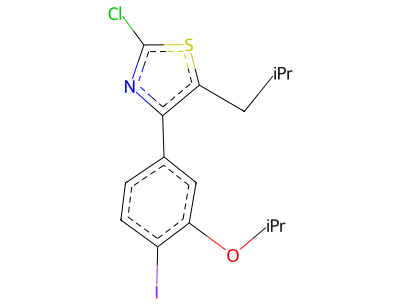 CC(C)Cc1sc(Cl)nc1-c1ccc(I)c(OC(C)C)c1